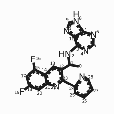 CC(Nc1ncnc2[nH]cnc12)c1cc2c(F)cc(F)cc2nc1-c1ccccn1